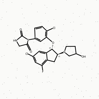 O=C1CNC(=O)N1c1ccc(Cl)c(O[C@H]2c3cc(Cl)cc(F)c3C[C@@H]2N2CCC(O)C2)c1